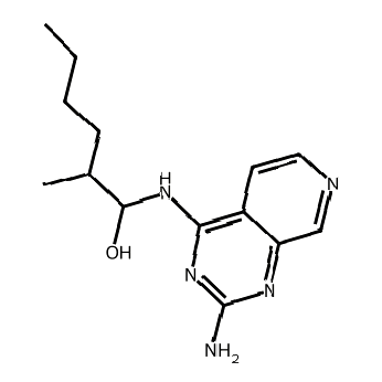 CCCCC(C)C(O)Nc1nc(N)nc2cnccc12